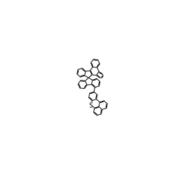 c1ccc2c(c1)-c1c(-c3ccc4c(c3)-c3cccc5cccc(c35)S4)cccc1C21c2ccccc2-c2c1c1ccccc1c1ccccc21